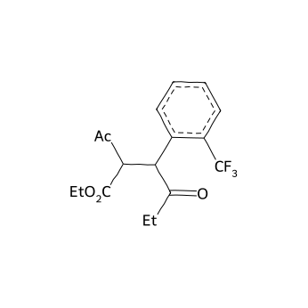 CCOC(=O)C(C(C)=O)C(C(=O)CC)c1ccccc1C(F)(F)F